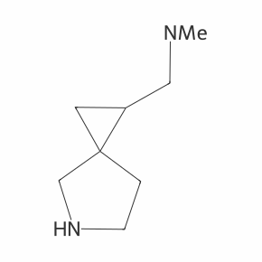 CNCC1CC12CCNC2